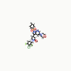 Cc1ccc(S(=O)(=O)n2cc(-c3ccn(Cc4ccc(F)c(Cl)c4F)c(=O)c3)c3cc(N4CCOCC4)cnc32)cc1